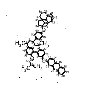 CC(CC(CC(C)c1ccc(Oc2ccc3cc4ccccc4cc3c2)cc1)c1ccc(OC23CCC4(CCCC56CCC(C5)C(C2)C64)C3)cc1)c1ccc(OCC(C)C(F)(F)F)cc1